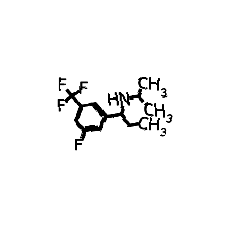 CCC(NC(C)C)c1cc(F)cc(C(F)(F)F)c1